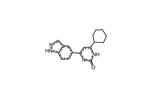 O=c1nc(-c2ccc3[nH]ncc3c2)cc(C2CCCCC2)[nH]1